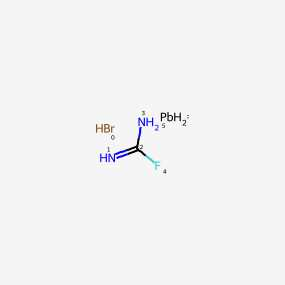 Br.N=C(N)F.[PbH2]